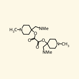 CNCC1(OC(=O)C(=O)OC2(CNC)CCN(C)CC2)CCN(C)CC1